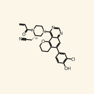 C=CC(=O)N1CCN(c2ncnc3cc(-c4ccc(O)c(Cl)c4)c4c(c23)OCCC4)C[C@@H]1CC#N